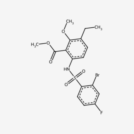 CCc1ccc(NS(=O)(=O)c2ccc(F)cc2Br)c(C(=O)OC)c1OC